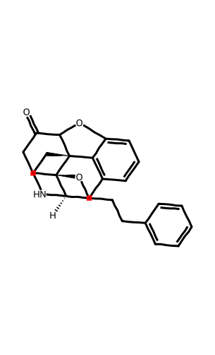 O=C1CC[C@@]2(OCCCc3ccccc3)[C@H]3Cc4cccc5c4[C@@]2(CCN3)C1O5